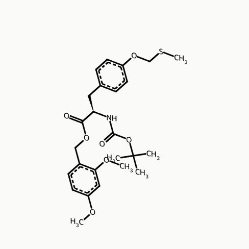 COc1ccc(COC(=O)[C@@H](Cc2ccc(OCSC)cc2)NC(=O)OC(C)(C)C)c(OC)c1